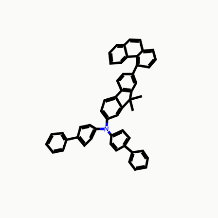 CC1(C)c2cc(-c3cccc4ccc5ccccc5c34)ccc2-c2ccc(N(c3ccc(-c4ccccc4)cc3)c3ccc(-c4ccccc4)cc3)cc21